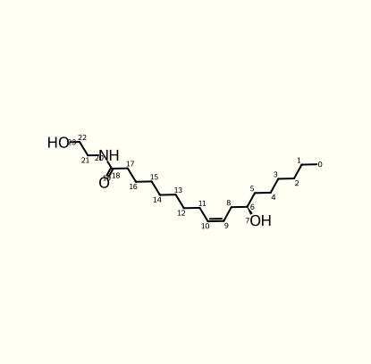 CCCCCC[C@@H](O)C/C=C\CCCCCCCC(=O)NCCO